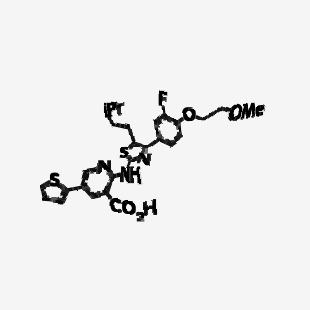 COCCOc1ccc(-c2nc(Nc3ncc(-c4cccs4)cc3C(=O)O)sc2CCC(C)C)cc1F